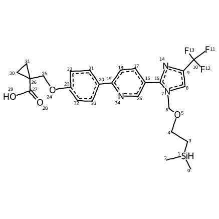 C[SiH](C)CCOCn1cc(C(F)(F)F)nc1-c1ccc(-c2ccc(OCC3(C(=O)O)CC3)cc2)nc1